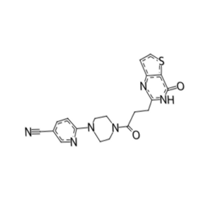 N#Cc1ccc(N2CCN(C(=O)CCc3nc4ccsc4c(=O)[nH]3)CC2)nc1